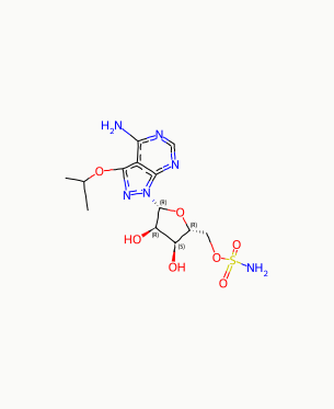 CC(C)Oc1nn([C@@H]2O[C@H](COS(N)(=O)=O)[C@@H](O)[C@H]2O)c2ncnc(N)c12